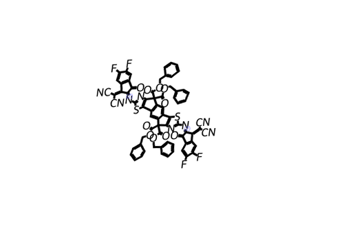 N#CC(C#N)=C1/C(=N/c2nc3c(s2)-c2cc4c(cc2C3(C(=O)OCc2ccccc2)C(=O)OCc2ccccc2)-c2sc(/N=C3\C(=O)c5cc(F)c(F)cc5C3=C(C#N)C#N)nc2C4(C(=O)OCc2ccccc2)C(=O)OCc2ccccc2)C(=O)c2cc(F)c(F)cc21